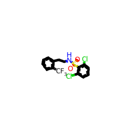 O=S(=O)(NCCc1ccccc1C(F)(F)F)c1c(Cl)cccc1Cl